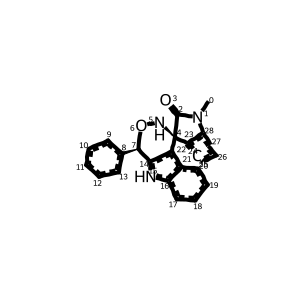 CN1C(=O)[C@]2(NO[C@H](c3ccccc3)c3[nH]c4ccccc4c32)c2ccccc21